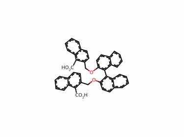 O=C(O)c1c(COc2ccc3ccccc3c2-c2c(OCc3ccc4ccccc4c3C(=O)O)ccc3ccccc23)ccc2ccccc12